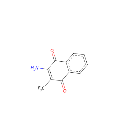 NC1=C(C(F)(F)F)C(=O)c2ccccc2C1=O